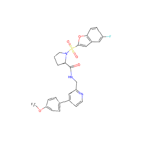 O=C(NCc1cc(-c2ccc(OC(F)(F)F)cc2)ccn1)C1CCCN1S(=O)(=O)c1cc2cc(F)ccc2o1